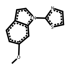 COc1ccc2ccn(-c3nccs3)c2c1